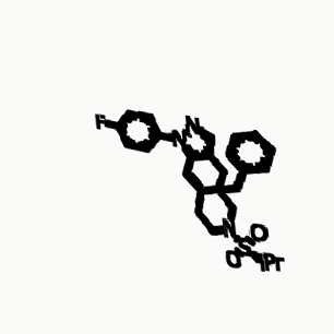 CC(C)S(=O)(=O)N1CCC2=Cc3c(cnn3-c3ccc(F)cc3)CC2(Cc2ccccc2)C1